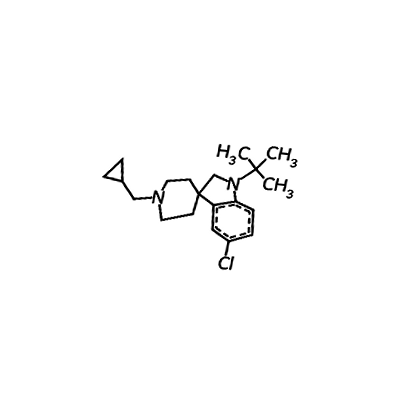 CC(C)(C)N1CC2(CCN(CC3CC3)CC2)c2cc(Cl)ccc21